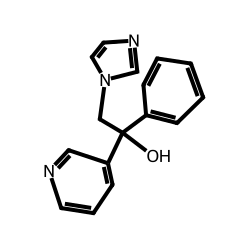 OC(Cn1ccnc1)(c1ccccc1)c1cccnc1